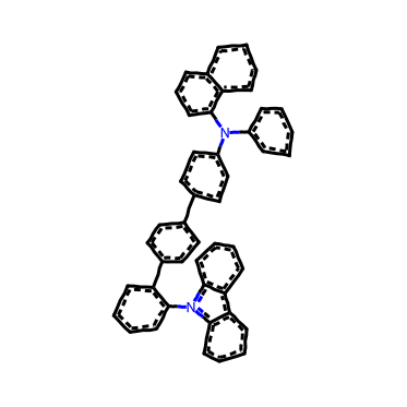 c1ccc(N(c2ccc(-c3ccc(-c4ccccc4-n4c5ccccc5c5ccccc54)cc3)cc2)c2cccc3ccccc23)cc1